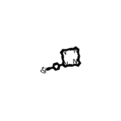 C[Si](C)(C)C#Cc1ccc(C2=CC3=CC4=NC(=CC5=NC(=CC6=NC(=CC2=N3)C=C6)C=C5)C=C4)cc1